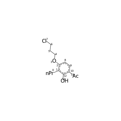 CCCc1c(OCCCCl)ccc(C(C)=O)c1O